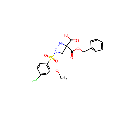 COc1cc(Cl)ccc1S(=O)(=O)NCC(N)(C(=O)O)C(=O)OCc1ccccc1